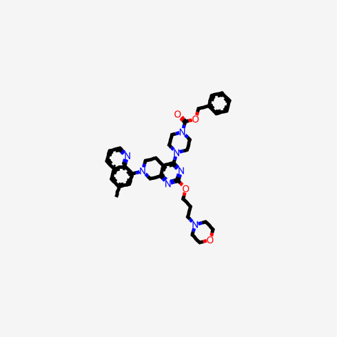 Cc1cc(N2CCc3c(nc(OCCCN4CCOCC4)nc3N3CCN(C(=O)OCc4ccccc4)CC3)C2)c2ncccc2c1